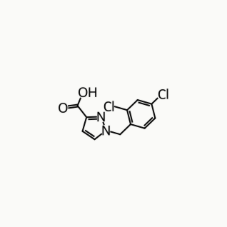 O=C(O)c1ccn(Cc2ccc(Cl)cc2Cl)n1